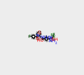 NC(NC(O)C(F)(F)F)c1ccc(C(O)NCC2COCCN2C(=O)c2ccc(F)cc2)cc1